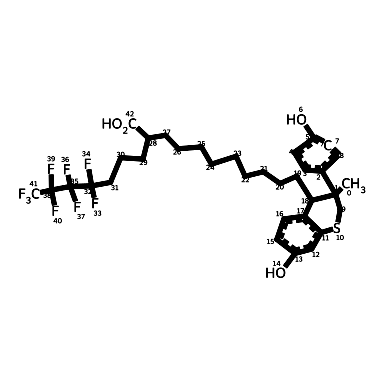 CC1(c2ccc(O)cc2)CSc2cc(O)ccc2C1CCCCCCCCCC(CCCC(F)(F)C(F)(F)C(F)(F)C(F)(F)F)C(=O)O